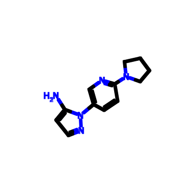 Nc1ccnn1-c1ccc(N2CCCC2)nc1